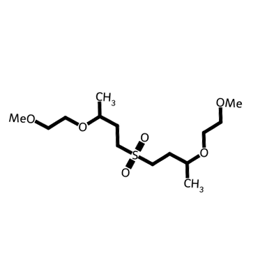 COCCOC(C)CCS(=O)(=O)CCC(C)OCCOC